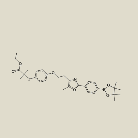 CCOC(=O)C(C)(C)Oc1ccc(OCCc2nc(-c3ccc(B4OC(C)(C)C(C)(C)O4)cc3)oc2C)cc1